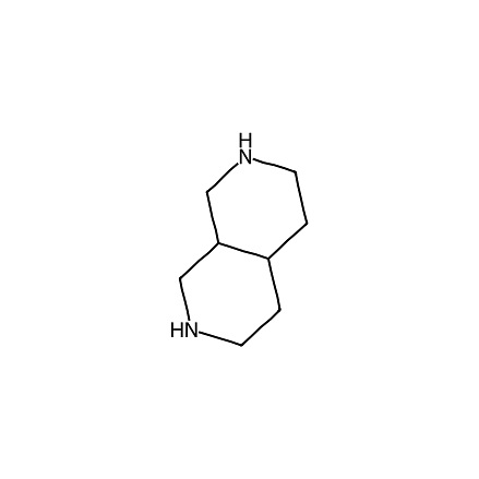 C1CC2CCNCC2CN1